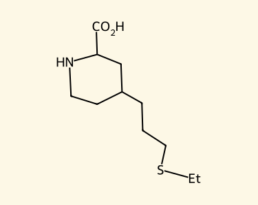 CCSCCCC1CCNC(C(=O)O)C1